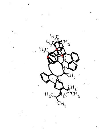 C=C1CC2C(CCc3cc(C)c4c(oc5ccccc54)c3-c3n(-c4c(-c5ccccc5)cc(C(C)(C)C)cc4-c4ccccc4)c4ccccc4[n+]31)c1ccccc1-c1cc(CC(C)C)c([Si](C)(C)C)c[n+]12